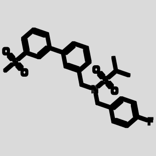 CC(C)S(=O)(=O)N(Cc1ccc(F)cc1)Cc1cccc(-c2cccc(S(C)(=O)=O)c2)c1